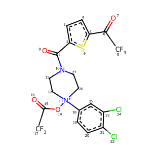 O=C(c1ccc(C(=O)C(F)(F)F)s1)N1CC[N+](OC(=O)C(F)(F)F)(c2ccc(Cl)c(Cl)c2)CC1